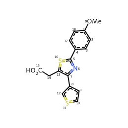 COc1ccc(-c2nc(-c3ccsc3)c(CC(=O)O)s2)cc1